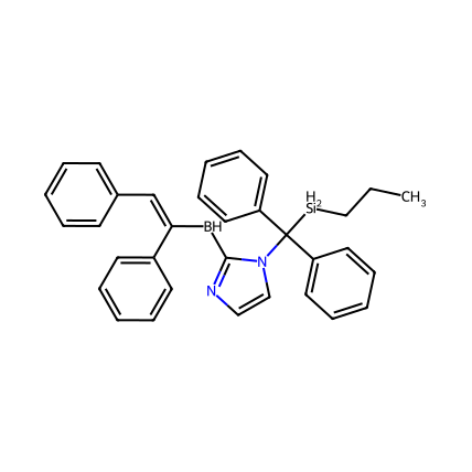 CCC[SiH2]C(c1ccccc1)(c1ccccc1)n1ccnc1BC(=Cc1ccccc1)c1ccccc1